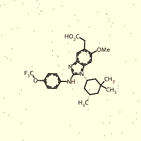 COc1cc2c(cc1CC(=O)O)nc(Nc1ccc(OC(F)(F)F)cc1)n2[C@H]1C[C@@H](C)CC(C)(C)C1